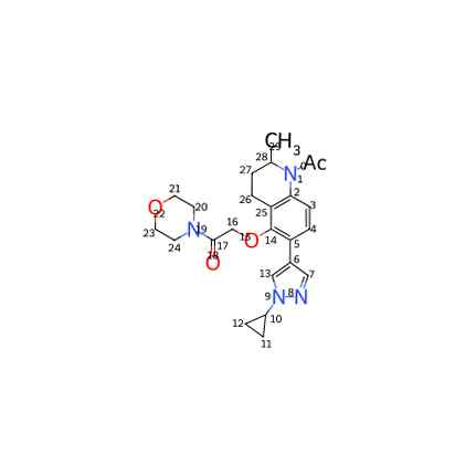 CC(=O)N1c2ccc(-c3cnn(C4CC4)c3)c(OCC(=O)N3CCOCC3)c2CCC1C